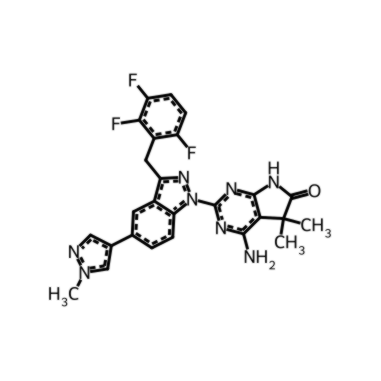 Cn1cc(-c2ccc3c(c2)c(Cc2c(F)ccc(F)c2F)nn3-c2nc(N)c3c(n2)NC(=O)C3(C)C)cn1